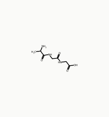 CC(N)C(=O)NCC(=O)NCC(=O)O